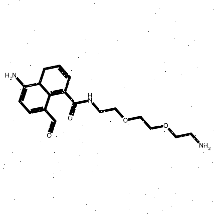 NCCOCCOCCNC(=O)C1=C2C(C=O)=CC=C(N)C2CC=C1